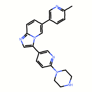 Cc1ccc(-c2ccc3ncc(-c4ccc(N5CCNCC5)nc4)n3c2)cn1